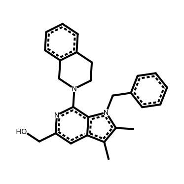 Cc1c(C)n(Cc2ccccc2)c2c(N3CCc4ccccc4C3)nc(CO)cc12